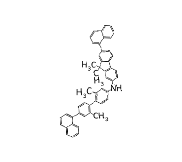 Cc1cc(Nc2ccc3c(c2)C(C)(C)c2cc(-c4cccc5ccccc45)ccc2-3)ccc1-c1ccc(-c2cccc3ccccc23)cc1C